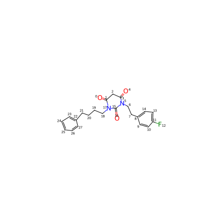 O=C1CC(=O)N(CCc2ccc(F)cc2)C(=O)N1CCCCc1ccccc1